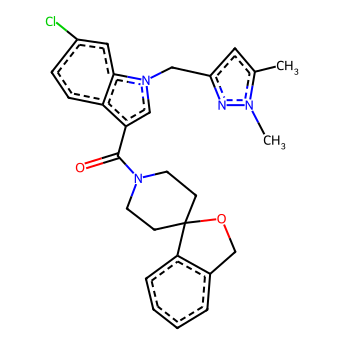 Cc1cc(Cn2cc(C(=O)N3CCC4(CC3)OCc3ccccc34)c3ccc(Cl)cc32)nn1C